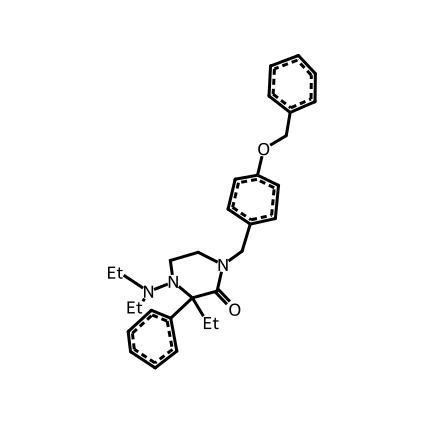 CCN(CC)N1CCN(Cc2ccc(OCc3ccccc3)cc2)C(=O)C1(CC)c1ccccc1